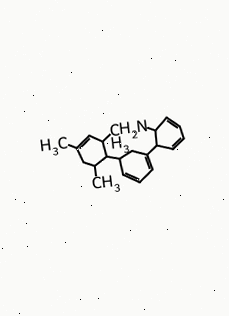 CC1=CC(C)C(C2C=CC=C(C3C=CC=CC3N)C2)C(C)C1